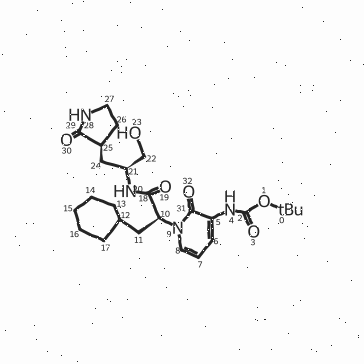 CC(C)(C)OC(=O)Nc1cccn([C@@H](CC2CCCCC2)C(=O)N[C@H](CO)C[C@@H]2CCNC2=O)c1=O